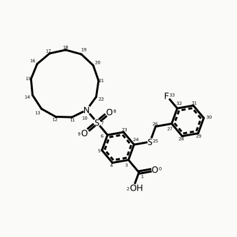 O=C(O)c1ccc(S(=O)(=O)N2CCCCCCCCCCCC2)cc1SCc1ccccc1F